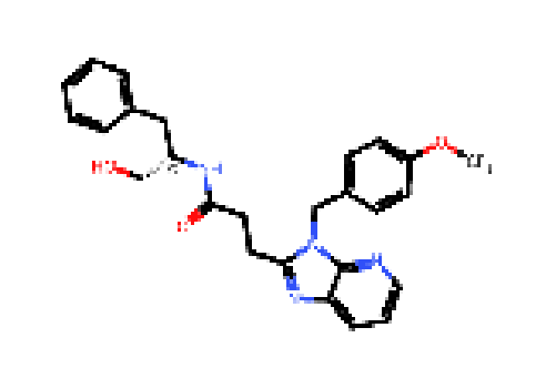 O=C(CCc1nc2cccnc2n1Cc1ccc(OC(F)(F)F)cc1)N[C@H](CO)Cc1ccccc1